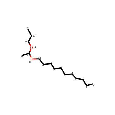 CCCCCCCCCCCOC(C)OCCC